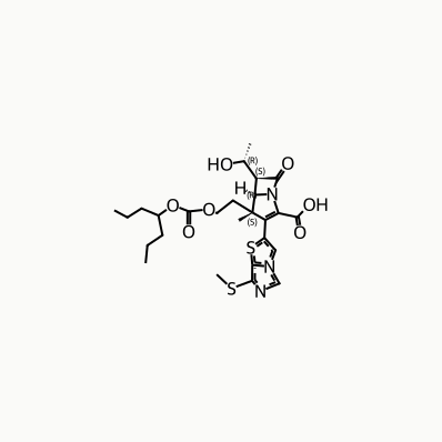 CCCC(CCC)OC(=O)OCC[C@@]1(C)C(c2cn3cnc(SC)c3s2)=C(C(=O)O)N2C(=O)[C@H]([C@@H](C)O)[C@@H]21